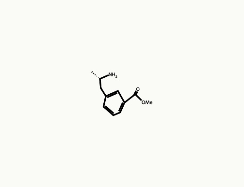 COC(=O)c1cccc(C[C@H](C)N)c1